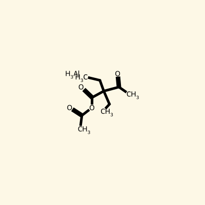 CCC(CC)(C(C)=O)C(=O)OC(C)=O.[AlH3]